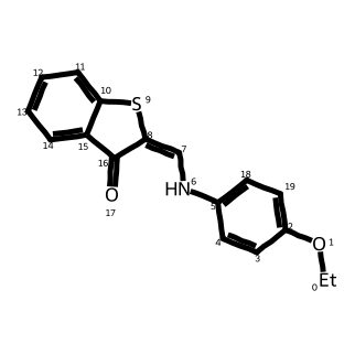 CCOc1ccc(NC=C2Sc3ccccc3C2=O)cc1